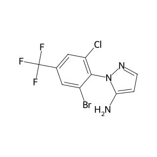 Nc1ccnn1-c1c(Cl)cc(C(F)(F)F)cc1Br